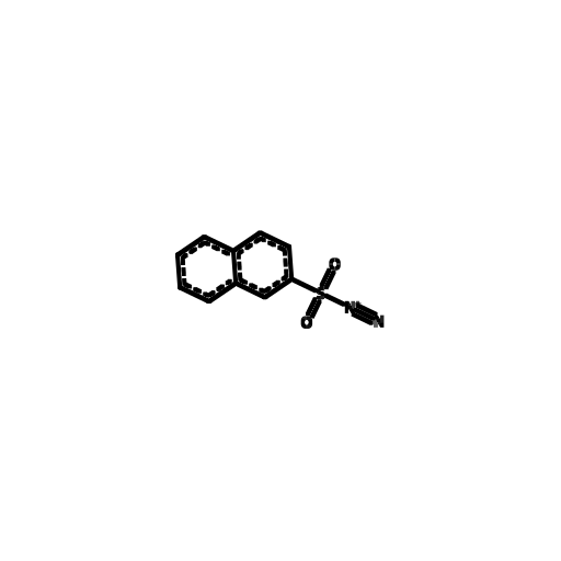 N#[N+]S(=O)(=O)c1ccc2ccccc2c1